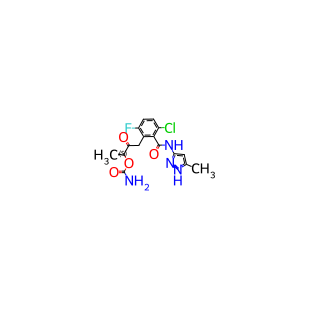 Cc1cc(NC(=O)c2c(Cl)ccc(F)c2CC(=O)[C@H](C)OC(N)=O)n[nH]1